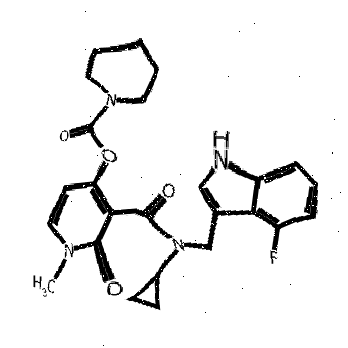 Cn1ccc(OC(=O)N2CCCCC2)c(C(=O)N(Cc2c[nH]c3cccc(F)c23)C2CC2)c1=O